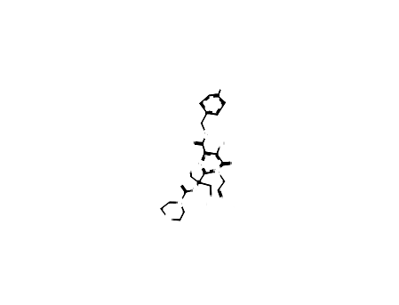 C=CCn1c(C(CC)(CC)NC(=O)N2CCOCC2)nc(C(=O)NCc2ccc(F)cc2)c(O)c1=O